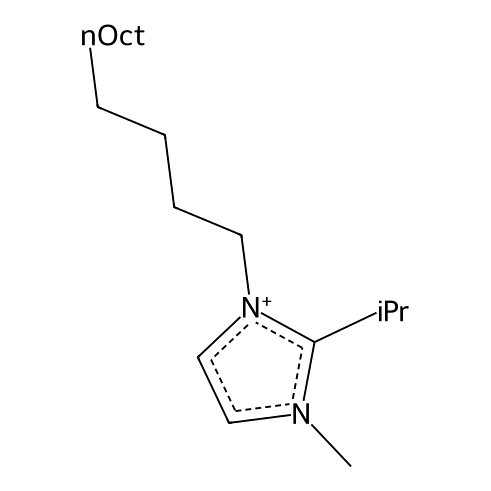 CCCCCCCCCCCC[n+]1ccn(C)c1C(C)C